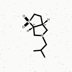 CC(C)CN1C[C@H]2CCS(=O)(=O)[C@H]2C1